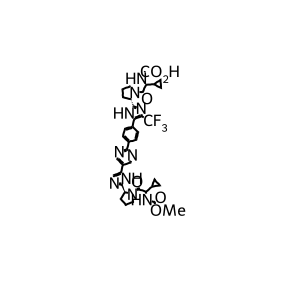 COC(=O)NC(C(=O)N1CCC[C@H]1c1ncc(-c2cnc(-c3ccc(-c4[nH]c([C@@H]5CCCN5C(=O)C(NC(=O)O)C5CC5)nc4C(F)(F)F)cc3)nc2)[nH]1)C1CC1